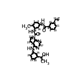 Cc1ccc(NC(=O)c2cccc(CF)c2)cc1NC(=O)n1ccc2c(Nc3cccc(C(C)O)c3)ncnc21